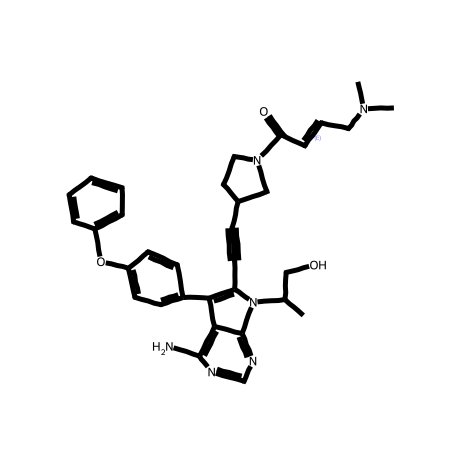 CC(CO)n1c(C#CC2CCN(C(=O)/C=C/CN(C)C)C2)c(-c2ccc(Oc3ccccc3)cc2)c2c(N)ncnc21